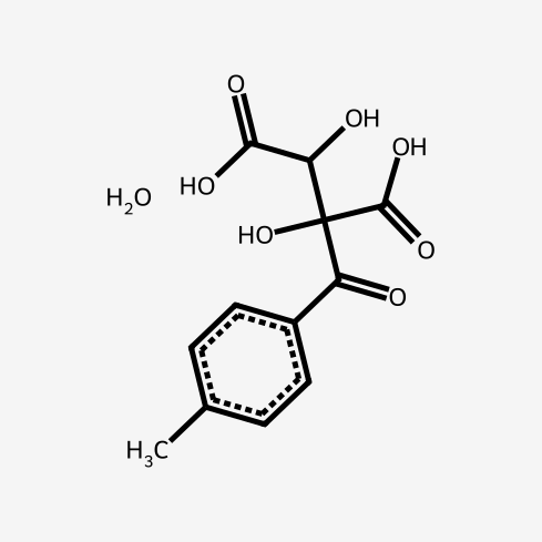 Cc1ccc(C(=O)C(O)(C(=O)O)C(O)C(=O)O)cc1.O